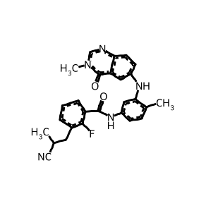 Cc1ccc(NC(=O)c2cccc(CC(C)C#N)c2F)cc1Nc1ccc2ncn(C)c(=O)c2c1